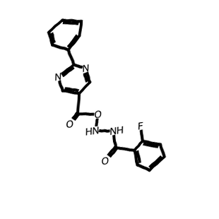 O=C(ONNC(=O)c1ccccc1F)c1cnc(-c2ccccc2)nc1